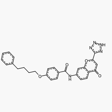 O=C(Nc1ccc2c(=O)cc(-c3nn[nH]n3)oc2c1)c1ccc(OCCCCc2ccccc2)cc1